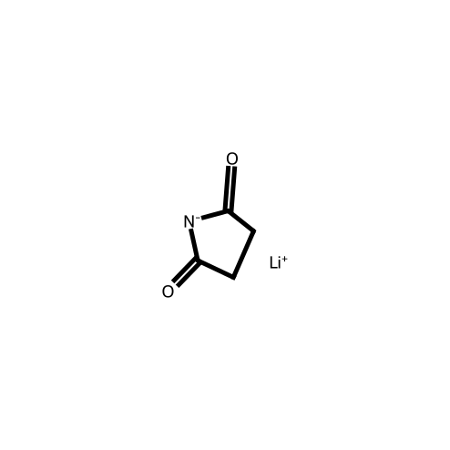 O=C1CCC(=O)[N-]1.[Li+]